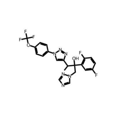 CC(c1cn(-c2ccc(OC(F)(F)F)cc2)nn1)C(O)(Cn1cncn1)c1cc(F)ccc1F